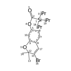 CC(C)[Si](C(=O)Oc1ccc2c(c1)OC(C)(C)C(Br)=C2)(C(C)C)C(C)C